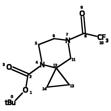 CC(C)(C)OC(=O)N1CCN(C(=O)C(F)(F)F)CC12CC2